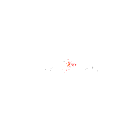 CCCC/C=C\CCCCCCCC(=O)O[C@H](CO/C=C\CCCCCCCCCCCCCCCC)COP(=O)(O)OC[C@@H](O)CO